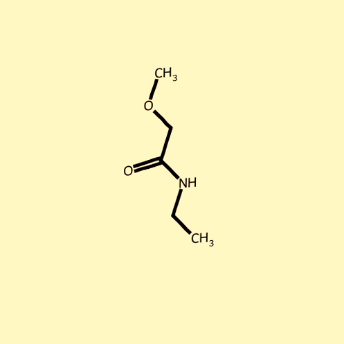 CCNC(=O)COC